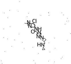 Cc1cn2cc(NC(=O)c3cnc(N4CCC(CNC5CC5)C4)cn3)cc(Cl)c2n1